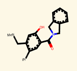 CNCc1cc(O)c(C(=O)N2Cc3ccccc3C2)cc1C(C)C